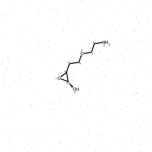 NCCOCCC1O[C@@H]1O